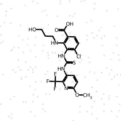 COc1ccc(NC(=S)Nc2c(Cl)ccc(C(=O)O)c2NCCCO)c(C(F)(F)F)n1